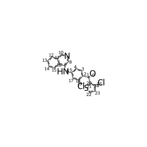 O=C(c1ccc(Nc2cncc3ccccc23)cc1Cl)c1sccc1Cl